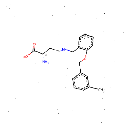 Cc1cccc(COc2ccccc2CNCC[C@H](N)C(=O)O)c1